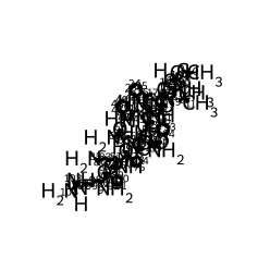 CC(C)C[C@H](NC(=O)[C@H](CC(C)C)NC(=O)[C@@H](Cc1c[nH]c2ccccc12)NC(=O)[C@H](Cc1ccccc1)NC(=O)[C@@H](Cc1c[nH]c2ccccc12)NC(=O)[C@H](CCC(N)=O)NC(=O)[C@H](CCC(N)=O)NC(=O)[C@@H]1CCCN1C(=O)[C@H](CCCCN)NC(=O)[C@H]1CCCN1C(=O)[C@H](N)CCCNC(=N)N)C(=O)O